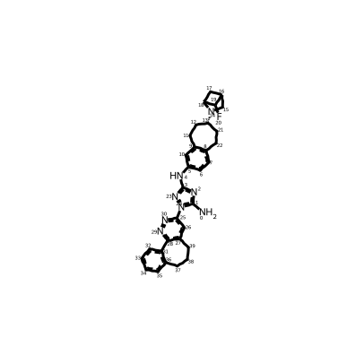 Nc1nc(Nc2ccc3c(c2)CC[C@H](N2CC4CC2C4F)CC3)nn1-c1cc2c(nn1)-c1ccccc1CCC2